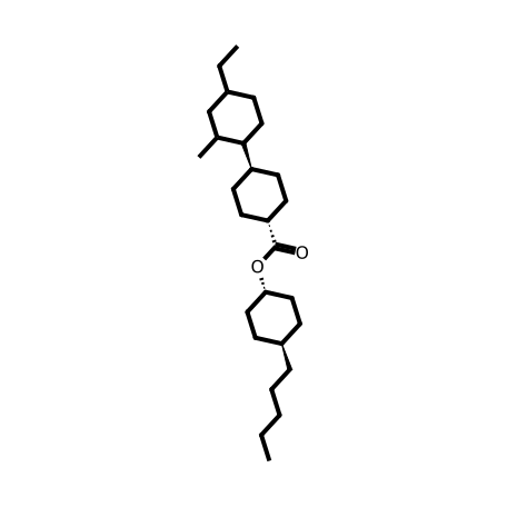 CCCCC[C@H]1CC[C@H](OC(=O)[C@H]2CC[C@H](C3CCC(CC)CC3C)CC2)CC1